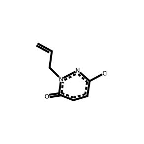 C=CCn1nc(Cl)ccc1=O